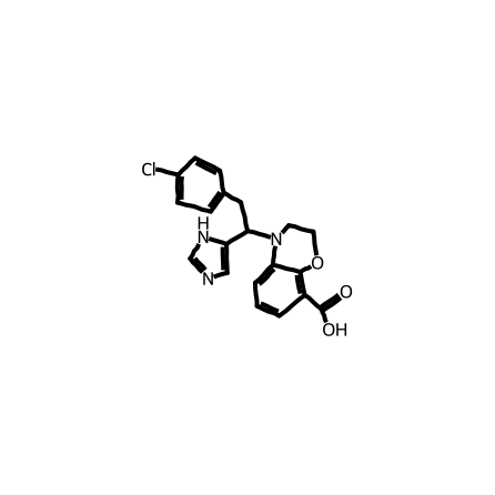 O=C(O)c1cccc2c1OCCN2C(Cc1ccc(Cl)cc1)c1cnc[nH]1